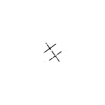 CCCCC(CCCC)(C(=O)O)C(CCCC)(C(C)=O)C(=O)O